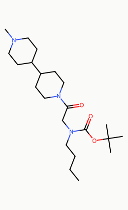 CCCCN(CC(=O)N1CCC(C2CCN(C)CC2)CC1)C(=O)OC(C)(C)C